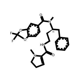 CN1CCC=C1C(=O)NCC[C@H](Cc1ccccc1)N(C)C(=O)c1ccc2c(c1)OC(F)(F)O2